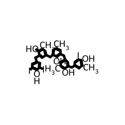 Cc1cc(Cc2cc(C)c(O)c(Cc3cc(C)c(O)c(I)c3)c2)c(O)c(Cc2cc(C)c(O)c(Cc3cc(I)c(O)c(I)c3)c2)c1